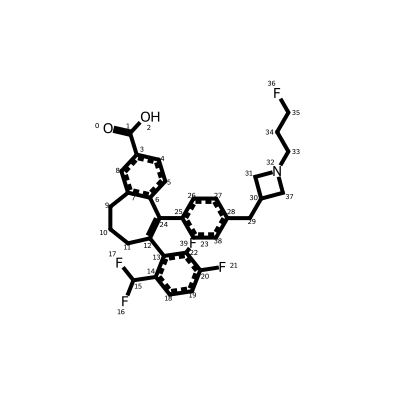 O=C(O)c1ccc2c(c1)CCCC(c1c(C(F)F)ccc(F)c1F)=C2c1ccc(CC2CN(CCCF)C2)cc1